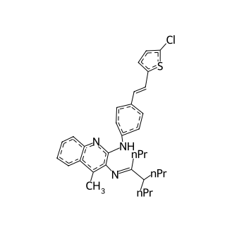 CCC/C(=N\c1c(Nc2ccc(/C=C/c3ccc(Cl)s3)cc2)nc2ccccc2c1C)C(CCC)CCC